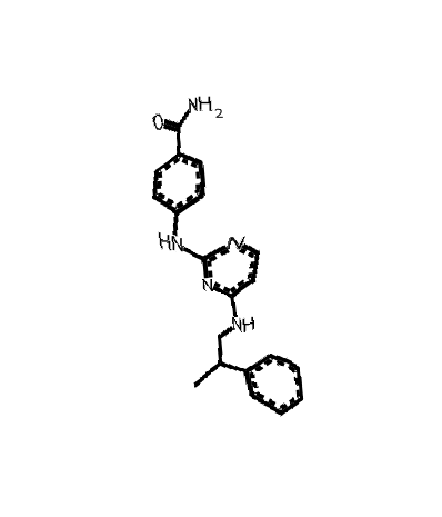 CC(CNc1ccnc(Nc2ccc(C(N)=O)cc2)n1)c1ccccc1